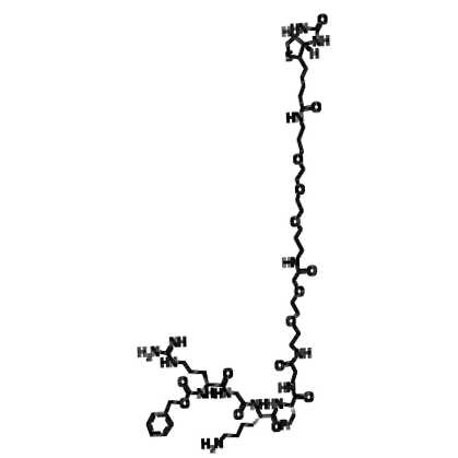 CC(C)C[C@H](NC(=O)[C@H](CCCCN)NC(=O)CNC(=O)[C@H](CCCNC(=N)N)NC(=O)OCc1ccccc1)C(=O)NCC(=O)NCCOCCOCC(=O)NCCCOCCOCCOCCCNC(=O)CCCCC1SC[C@@H]2NC(=O)N[C@H]12